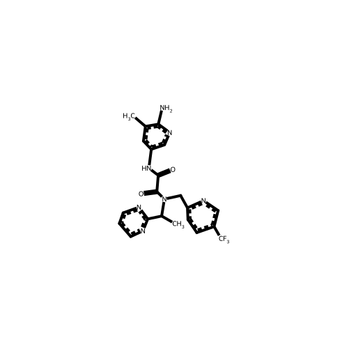 Cc1cc(NC(=O)C(=O)N(Cc2ccc(C(F)(F)F)cn2)C(C)c2ncccn2)cnc1N